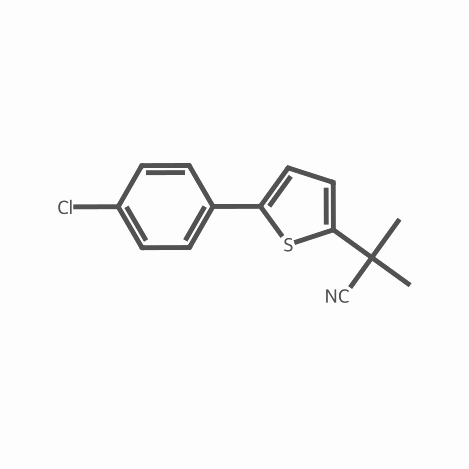 CC(C)(C#N)c1ccc(-c2ccc(Cl)cc2)s1